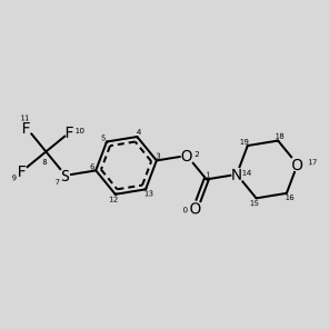 O=C(Oc1ccc(SC(F)(F)F)cc1)N1CCOCC1